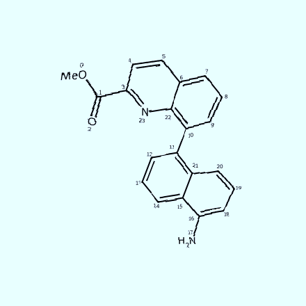 COC(=O)c1ccc2cccc(-c3cccc4c(N)cccc34)c2n1